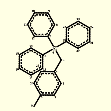 Cc1ccc(C[Si](c2ccccc2)(c2ccccc2)c2ccccc2)cc1